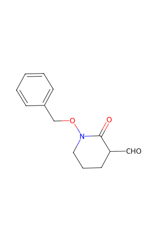 O=CC1CCCN(OCc2ccccc2)C1=O